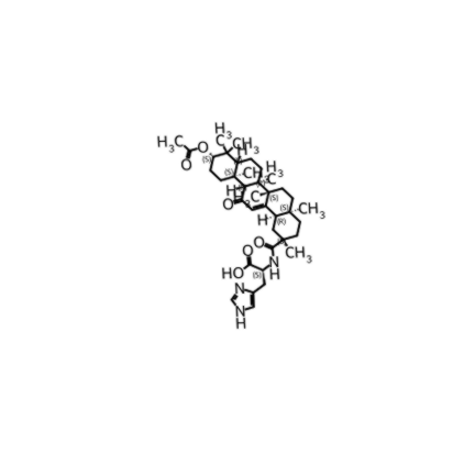 CC(=O)O[C@H]1CC[C@]2(C)[C@H]3C(=O)C=C4[C@@H]5C[C@@](C)(C(=O)N[C@@H](Cc6c[nH]cn6)C(=O)O)CC[C@]5(C)CC[C@@]4(C)[C@]3(C)CC[C@H]2C1(C)C